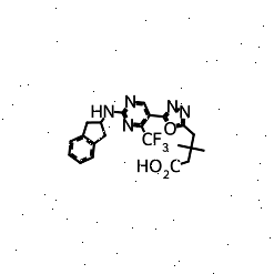 CC(C)(CC(=O)O)Cc1nnc(-c2cnc(NC3Cc4ccccc4C3)nc2C(F)(F)F)o1